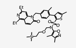 CCc1cc2c(ccc(=O)n2Cc2ccc(-c3cc(C)sc3S(=O)(=O)N(COCC[Si](C)(C)C)c3onc(C)c3C)c(C)c2)c(CC)n1